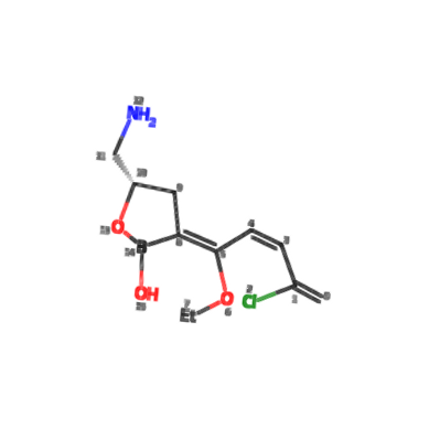 C=C(Cl)/C=C\C(OCC)=C1/C[C@@H](CN)OB1O